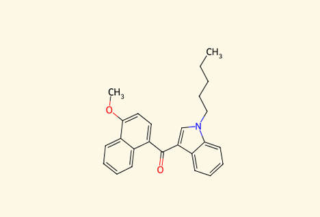 CCCCCn1cc(C(=O)c2ccc(OC)c3ccccc23)c2ccccc21